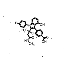 CNC(=O)CC(C)(C)c1c(-c2ccc(C(=O)O)cc2)c2c(O)cccc2n1-c1ccc(F)cc1